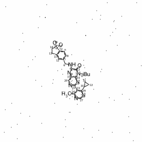 CCC(C)n1c(=O)c(NCc2ccc3c(c2)CCS3(=O)=O)nc2cnc(-c3c(C)ncnc3C3CC3)nc21